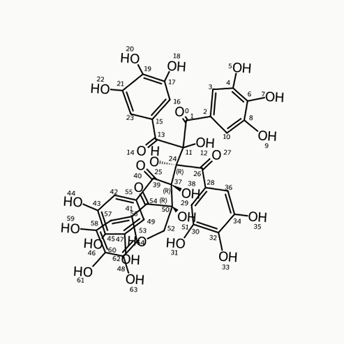 O=C(c1cc(O)c(O)c(O)c1)C(O)(C(=O)c1cc(O)c(O)c(O)c1)[C@@](O)(C(=O)c1cc(O)c(O)c(O)c1)[C@@](O)(C(=O)c1cc(O)c(O)c(O)c1)[C@](O)(CO)C(=O)c1cc(O)c(O)c(O)c1